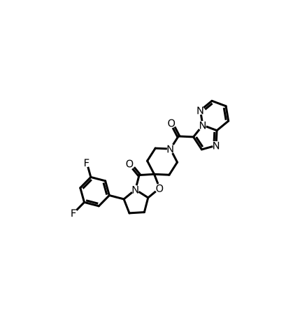 O=C(c1cnc2cccnn12)N1CCC2(CC1)OC1CCC(c3cc(F)cc(F)c3)N1C2=O